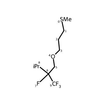 CSCCCOCC(F)(C(C)C)C(F)(F)F